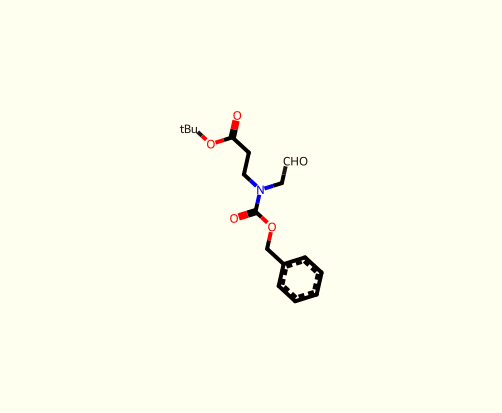 CC(C)(C)OC(=O)CCN(CC=O)C(=O)OCc1ccccc1